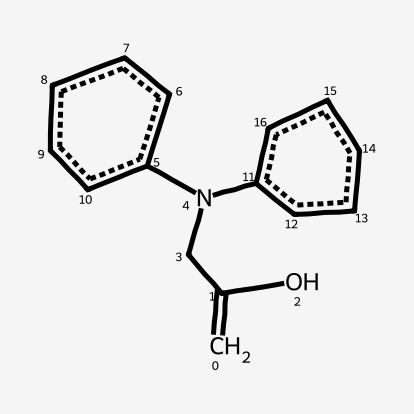 C=C(O)CN(c1ccccc1)c1ccccc1